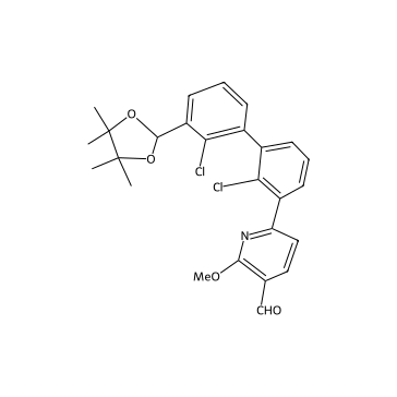 COc1nc(-c2cccc(-c3cccc(C4OC(C)(C)C(C)(C)O4)c3Cl)c2Cl)ccc1C=O